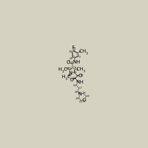 Cc1cc(NC(=O)c2c(C)c(C(=O)C(=O)NCCCN3CCOCC3)n(C)c2C)ccc1F